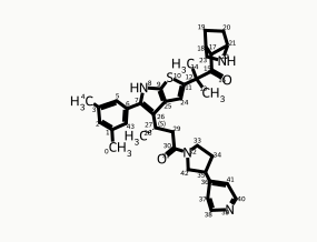 Cc1cc(C)cc(-c2[nH]c3sc(C(C)(C)C(=O)C4C5CCC4NC5)cc3c2[C@@H](C)CC(=O)N2CCC(c3ccncc3)C2)c1